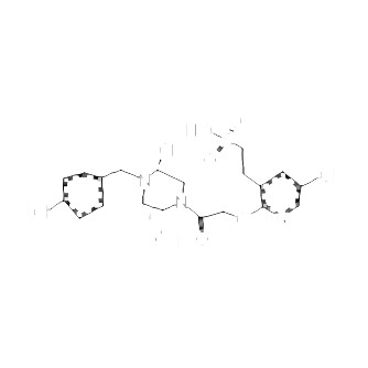 C[C@@H]1CN(Cc2ccc(Cl)cc2)[C@@H](C)CN1C(=O)COc1ncc(Cl)cc1CCS(=O)(=O)O